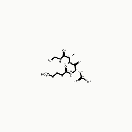 CC(=O)CNC(=O)[C@H](C)NC(=O)[C@H](CC(N)=O)NC(=O)CCCC(=O)O